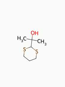 CC(C)(O)C1SCCCS1